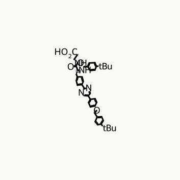 CC(C)(C)c1ccc(COc2ccc(-c3cnc(-c4ccc(C[C@H](NC(=O)c5ccc(C(C)(C)C)cc5)C(=O)NCCC(=O)O)cc4)nc3)cc2)cc1